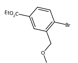 CCOCc1cc(C(=O)OCC)ccc1Br